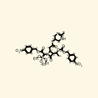 CCOP(OCC)(OCC)=C(C(=O)OCc1ccc([N+](=O)[O-])cc1)N1C(=O)C(C(C)OC(=O)OCc2ccc([N+](=O)[O-])cc2)C1CC(=O)SC1CN=C(C)NC1